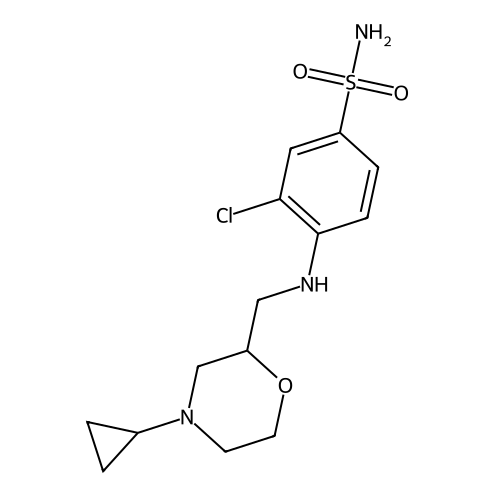 NS(=O)(=O)c1ccc(NCC2CN(C3CC3)CCO2)c(Cl)c1